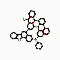 O=C(c1ccccc1)c1cc(-c2ccc3oc4ccccc4c3c2)cc(N(c2cccc(N(c3ccccc3)c3ccccc3)c2)c2c(-c3ccccc3)cccc2-c2ccccc2)c1